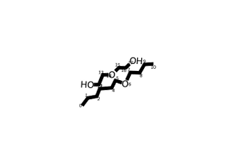 CCCCCCOCCCC.OCCOCCO